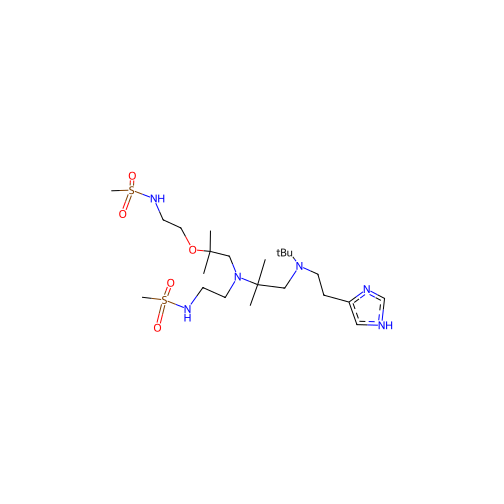 CC(C)(CN(CCNS(C)(=O)=O)C(C)(C)CN(CCc1c[nH]cn1)C(C)(C)C)OCCNS(C)(=O)=O